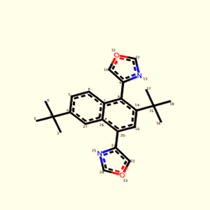 CC(C)(C)c1ccc2c(-c3cocn3)c(C(C)(C)C)cc(-c3cocn3)c2c1